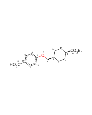 CCOC(=O)[C@H]1CC[C@@H](COc2ccc(C(=O)O)cc2)CC1